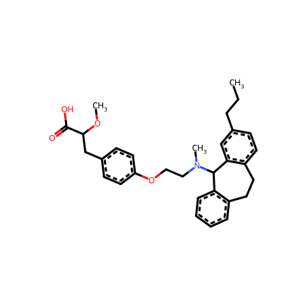 CCCc1ccc2c(c1)C(N(C)CCOc1ccc(CC(OC)C(=O)O)cc1)c1ccccc1CC2